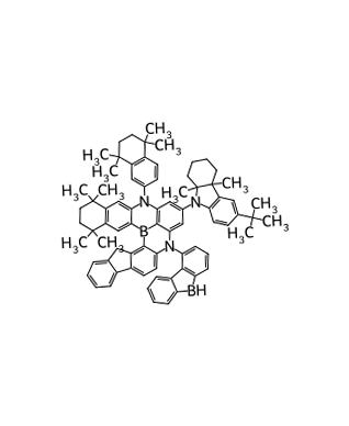 CC(C)(C)c1ccc2c(c1)C1(C)CCCCC1(C)N2c1cc2c3c(c1)N(c1cccc4c1-c1ccccc1B4)c1ccc4c(c1B3c1cc3c(cc1N2c1ccc2c(c1)C(C)(C)CCC2(C)C)C(C)(C)CCC3(C)C)Cc1ccccc1-4